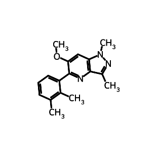 COc1cc2c(nc1-c1cccc(C)c1C)c(C)nn2C